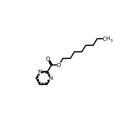 CCCCCCCCOC(=O)c1ncccn1